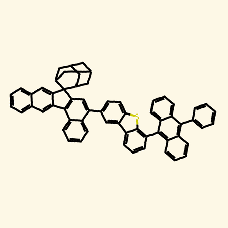 c1ccc(-c2c3ccccc3c(-c3cccc4c3sc3ccc(-c5cc6c(c7ccccc57)-c5cc7ccccc7cc5C65C6CC7CC(C6)CC5C7)cc34)c3ccccc23)cc1